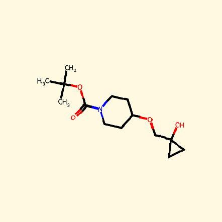 CC(C)(C)OC(=O)N1CCC(OCC2(O)CC2)CC1